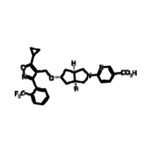 O=C(O)c1ccc(N2C[C@H]3C[C@H](OCc4c(-c5ccccc5C(F)(F)F)noc4C4CC4)C[C@H]3C2)nc1